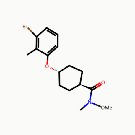 CON(C)C(=O)[C@H]1CC[C@H](Oc2cccc(Br)c2C)CC1